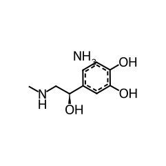 CNC[C@H](O)c1ccc(O)c(O)c1.N